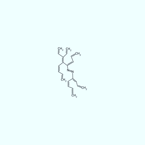 C=C/C=C\C(=C(C=C)C=C)/C(=C\C=C)N=NC(/C=C\C=C)=C/C=C